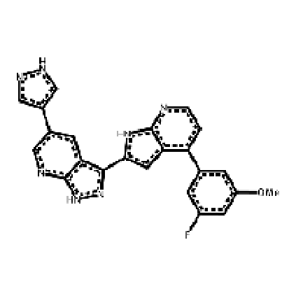 COc1cc(F)cc(-c2ccnc3[nH]c(-c4n[nH]c5ncc(-c6cn[nH]c6)cc45)cc23)c1